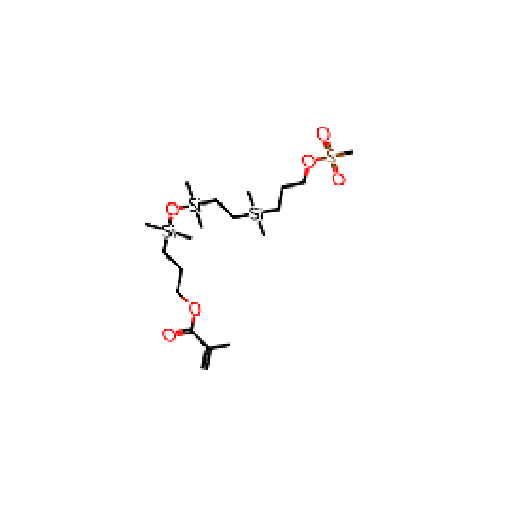 C=C(C)C(=O)OCCC[Si](C)(C)O[Si](C)(C)CC[Si](C)(C)CCCOS(C)(=O)=O